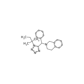 CCC(C)(C)n1nnnc1C(c1ccccc1)N1CCc2ccccc2C1